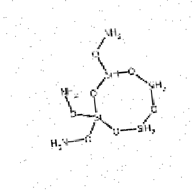 NO[SiH]1O[SiH2]O[SiH2]O[Si](ON)(ON)O1